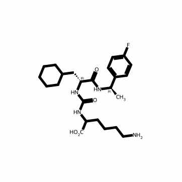 C[C@@H](NC(=O)[C@@H](CC1CCCCC1)NC(=O)NC(CCCCN)C(=O)O)c1ccc(F)cc1